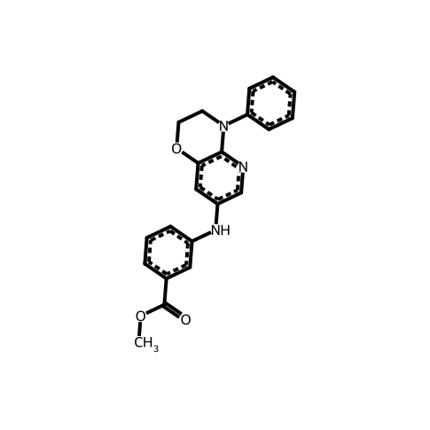 COC(=O)c1cccc(Nc2cnc3c(c2)OCCN3c2ccccc2)c1